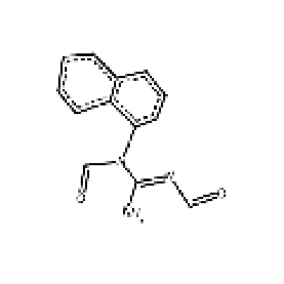 NC(=NC=O)N(C=O)c1cccc2ccccc12